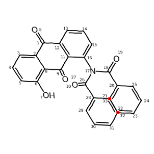 O=C1c2cccc(O)c2C(=O)c2c1cccc2N(C(=O)c1ccccc1)C(=O)c1ccccc1